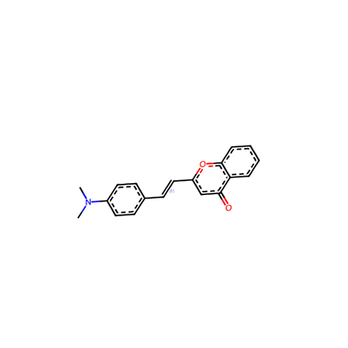 CN(C)c1ccc(/C=C/c2cc(=O)c3ccccc3o2)cc1